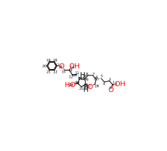 O=C(O)CCC[C@H]1CC[C@@H]2[C@@H](/C=C/C(O)COc3ccccc3)[C@H](O)C[C@@H]2OC1